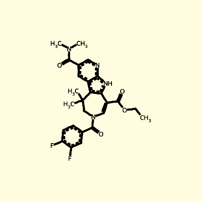 CCOC(=O)C1=CN(C(=O)c2ccc(F)c(F)c2)CC(C)(C)c2c1[nH]c1ncc(C(=O)N(C)C)cc21